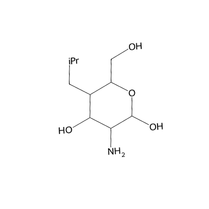 CC(C)CC1C(CO)OC(O)C(N)C1O